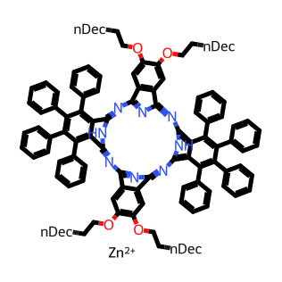 CCCCCCCCCCCCOc1cc2c(cc1OCCCCCCCCCCCC)-c1nc-2nc2[nH]c(nc3nc(nc4[nH]c(n1)c1c(-c5ccccc5)c(-c5ccccc5)c(-c5ccccc5)c(-c5ccccc5)c41)-c1cc(OCCCCCCCCCCCC)c(OCCCCCCCCCCCC)cc1-3)c1c(-c3ccccc3)c(-c3ccccc3)c(-c3ccccc3)c(-c3ccccc3)c21.[Zn+2]